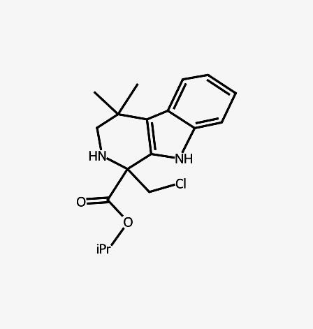 CC(C)OC(=O)C1(CCl)NCC(C)(C)c2c1[nH]c1ccccc21